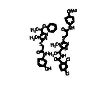 CC(Oc1ccccc1)c1nnc(SCC(=O)Nc2cccc(O)c2)n1C.COc1ccc(NC(=O)CSc2nnc(C(C)NC(=O)c3ccc(Cl)cc3Cl)n2C)cc1